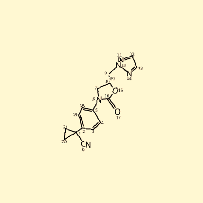 N#CC1(c2ccc(N3C[C@H](Cn4nccn4)OC3=O)cc2)CC1